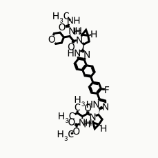 CNC(=O)N[C@H](C(=O)N1[C@@H]2C[C@@H]2C[C@H]1c1nc2c(ccc3cc(-c4ccc(-c5cnc([C@@H]6C[C@H]7C[C@H]7N6C(=O)[C@@H](NC(=O)OC)C(C)C)[nH]5)c(F)c4)ccc32)[nH]1)C1CCOCC1